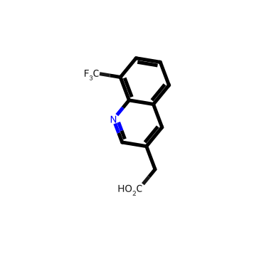 O=C(O)Cc1cnc2c(C(F)(F)F)cccc2c1